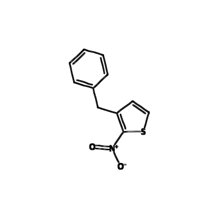 O=[N+]([O-])c1sccc1Cc1ccccc1